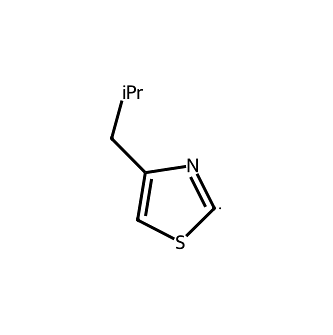 CC(C)Cc1cs[c]n1